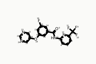 O=C(Nc1cccc(C(F)(F)F)n1)c1cc(F)cc(Oc2cncnc2)c1